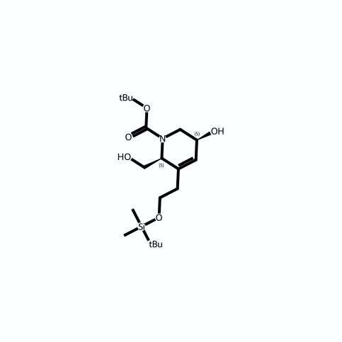 CC(C)(C)OC(=O)N1C[C@@H](O)C=C(CCO[Si](C)(C)C(C)(C)C)[C@H]1CO